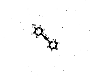 Fc1ccc(C#Cc2ccccn2)cc1